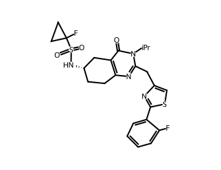 CC(C)n1c(Cc2csc(-c3ccccc3F)n2)nc2c(c1=O)C[C@@H](NS(=O)(=O)C1(F)CC1)CC2